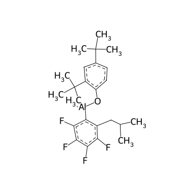 CC(C)Cc1c(F)c(F)c(F)c(F)[c]1[Al][O]c1ccc(C(C)(C)C)cc1C(C)(C)C